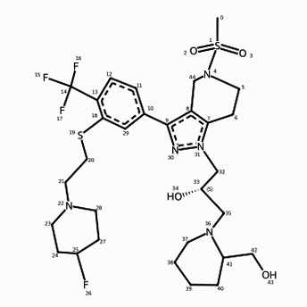 CS(=O)(=O)N1CCc2c(c(-c3ccc(C(F)(F)F)c(SCCN4CCC(F)CC4)c3)nn2C[C@@H](O)CN2CCCCC2CO)C1